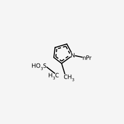 CCCn1cccc1C.CS(=O)(=O)O